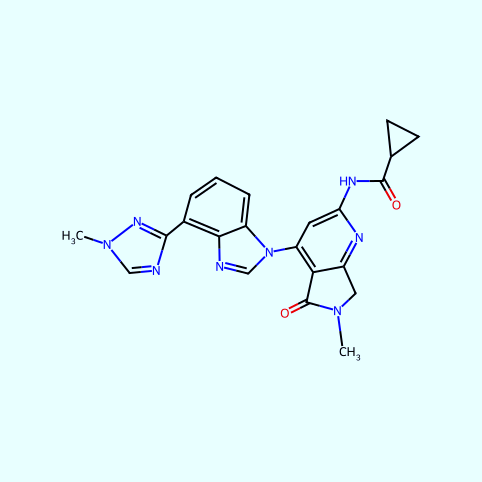 CN1Cc2nc(NC(=O)C3CC3)cc(-n3cnc4c(-c5ncn(C)n5)cccc43)c2C1=O